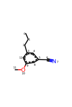 CCCc1cc(C#N)cc(OC)c1